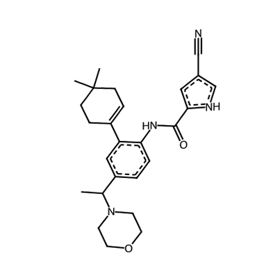 CC(c1ccc(NC(=O)c2cc(C#N)c[nH]2)c(C2=CCC(C)(C)CC2)c1)N1CCOCC1